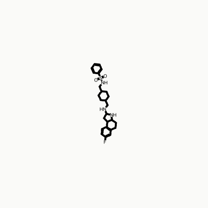 O=S(=O)(NCC1CCC(CNC2CC3c4ccc(F)cc4CCC3N2)CC1)c1ccccc1